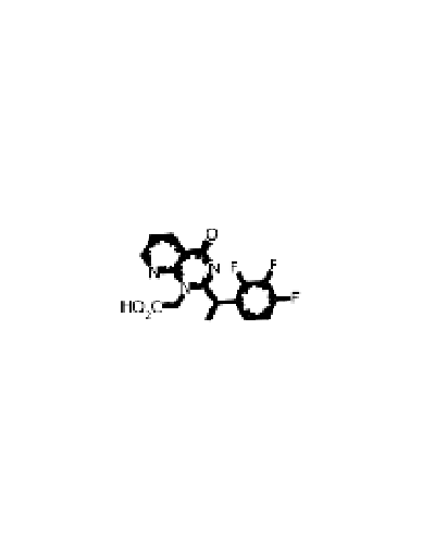 CC(c1ccc(F)c(F)c1F)c1nc(=O)c2cccnc2n1CC(=O)O